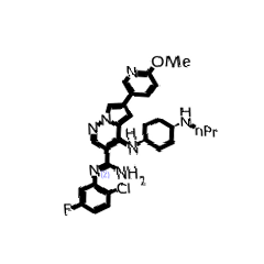 CCCN[C@H]1CC[C@H](Nc2c(/C(N)=N/c3cc(F)ccc3Cl)cnn3cc(-c4ccc(OC)nc4)cc23)CC1